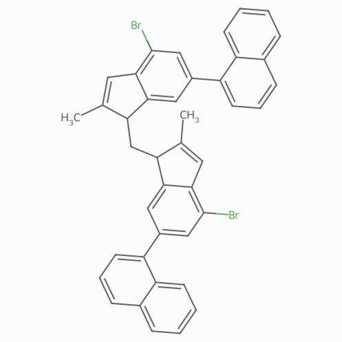 CC1=Cc2c(Br)cc(-c3cccc4ccccc34)cc2C1CC1C(C)=Cc2c(Br)cc(-c3cccc4ccccc34)cc21